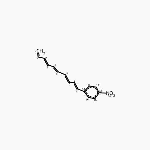 C=CC=CC=CC=CC=Cc1ccc([N+](=O)[O-])cc1